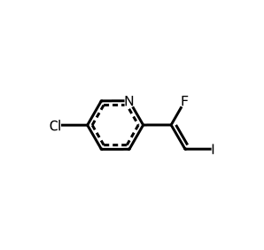 FC(=CI)c1ccc(Cl)cn1